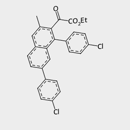 CCOC(=O)C(=O)c1c(C)cc2ccc(-c3ccc(Cl)cc3)cc2c1-c1ccc(Cl)cc1